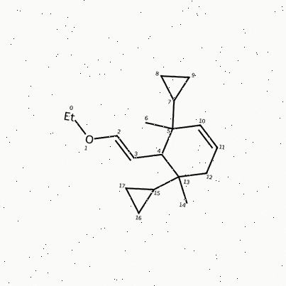 CCOC=CC1C(C)(C2CC2)C=CCC1(C)C1CC1